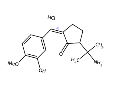 COc1ccc(/C=C2/CCC(C(C)(C)N)C2=O)cc1O.Cl